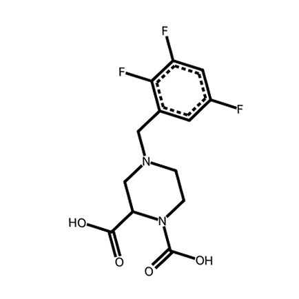 O=C(O)C1CN(Cc2cc(F)cc(F)c2F)CCN1C(=O)O